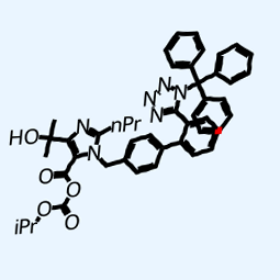 CCCc1nc(C(C)(C)O)c(C(=O)OC(=O)OC(C)C)n1Cc1ccc(-c2ccccc2-c2nnnn2C(c2ccccc2)(c2ccccc2)c2ccccc2)cc1